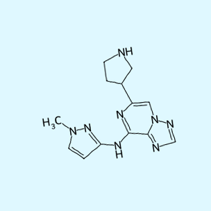 Cn1ccc(Nc2nc(C3CCNC3)cn3ncnc23)n1